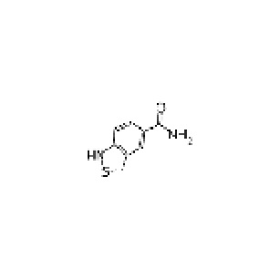 NC(=O)c1ccc2c(c1)CSN2